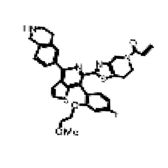 C=CC(=O)N1CCc2sc(-c3nc(-c4ccc5c(c4)CCNC5)c4ccsc4c3-c3ccc(F)cc3OCCOC)nc2C1